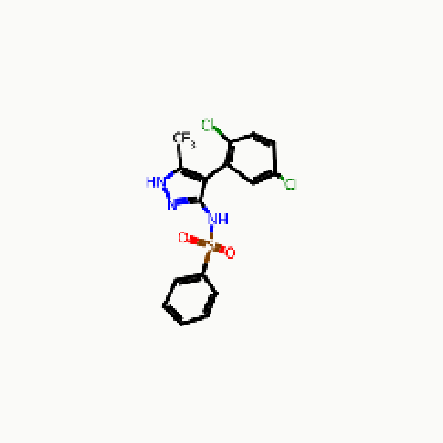 O=S(=O)(Nc1n[nH]c(C(F)(F)F)c1-c1cc(Cl)ccc1Cl)c1ccccc1